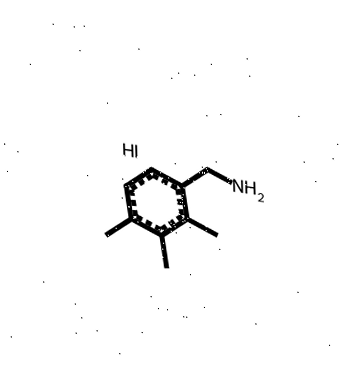 Cc1ccc(CN)c(C)c1C.I